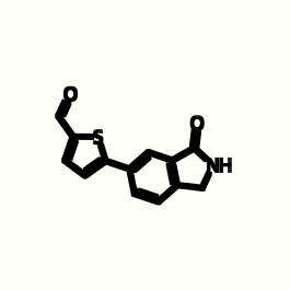 O=Cc1ccc(-c2ccc3c(c2)C(=O)NC3)s1